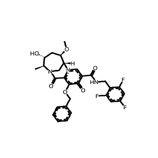 CO[C@@H]1C[C@@H](O)[C@H](C)N2C[C@H]1n1cc(C(=O)NCc3c(F)cc(F)cc3F)c(=O)c(OCc3ccccc3)c1C2=O